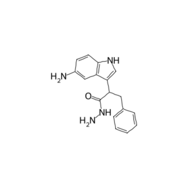 NNC(=O)C(Cc1ccccc1)c1c[nH]c2ccc(N)cc12